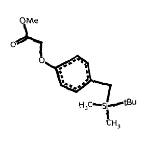 COC(=O)COc1ccc(C[Si](C)(C)C(C)(C)C)cc1